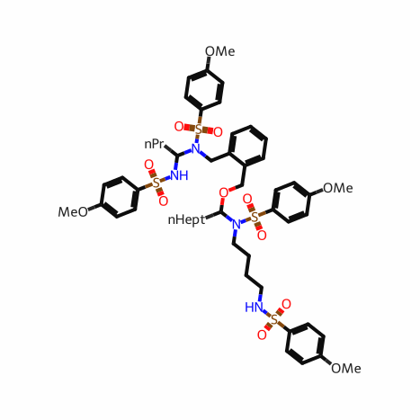 CCCCCCCC(OCc1ccccc1CN(C(CCC)NS(=O)(=O)c1ccc(OC)cc1)S(=O)(=O)c1ccc(OC)cc1)N(CCCCNS(=O)(=O)c1ccc(OC)cc1)S(=O)(=O)c1ccc(OC)cc1